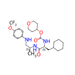 C[C@@H](CNc1ccc(OC(F)(F)F)cc1)NC(=O)[C@H](CC1CCCCC1)NC(=O)OC1CCOCC1